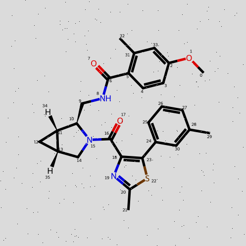 COc1ccc(C(=O)NC[C@@H]2[C@H]3C[C@H]3CN2C(=O)c2nc(C)sc2-c2cccc(C)c2)c(C)c1